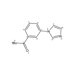 CC(C)(C)C(=O)c1cccc(-n2ccnc2)c1